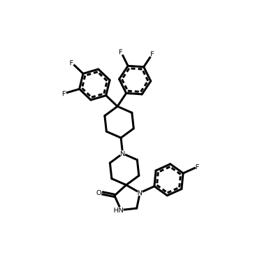 O=C1NCN(c2ccc(F)cc2)C12CCN(C1CCC(c3ccc(F)c(F)c3)(c3ccc(F)c(F)c3)CC1)CC2